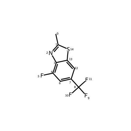 Cc1nc2c(F)cc(C(F)(F)F)cc2s1